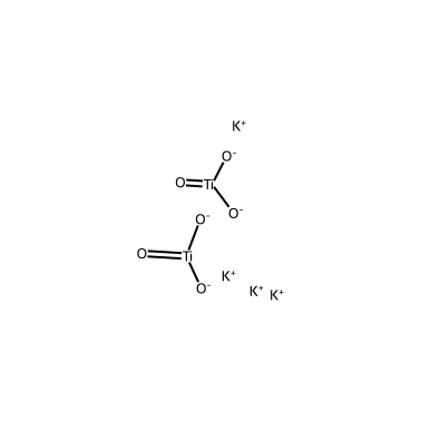 [K+].[K+].[K+].[K+].[O]=[Ti]([O-])[O-].[O]=[Ti]([O-])[O-]